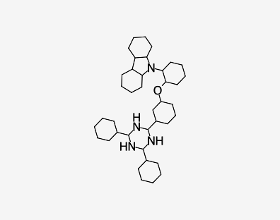 C1CCC(C2NC(C3CCCCC3)NC(C3CCCC(OC4CCCCC4N4C5CCCCC5C5CCCCC54)C3)N2)CC1